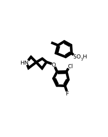 Cc1ccc(S(=O)(=O)O)cc1.Fc1ccc(OC2CC3(CNC3)C2)c(Cl)c1